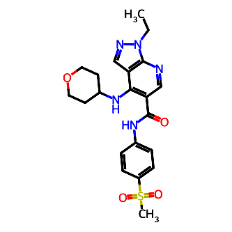 CCn1ncc2c(NC3CCOCC3)c(C(=O)Nc3ccc(S(C)(=O)=O)cc3)cnc21